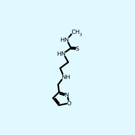 CNC(=S)NCCNCc1ccon1